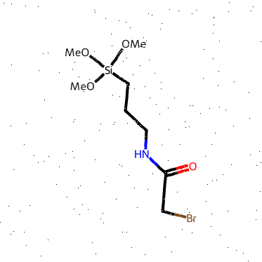 CO[Si](CCCNC(=O)CBr)(OC)OC